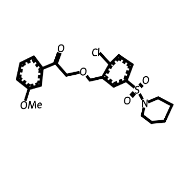 COc1cccc(C(=O)COCc2cc(S(=O)(=O)N3CCCCC3)ccc2Cl)c1